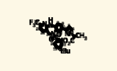 CC(C(=O)O)n1ccc(-c2ccc3c(c2)N(S(=O)(=O)c2ccc(C(C)(C)C)cc2)Cc2ccc(C(F)(F)F)nc2N3)n1